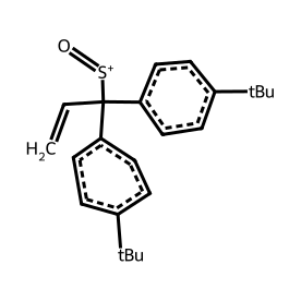 C=CC([S+]=O)(c1ccc(C(C)(C)C)cc1)c1ccc(C(C)(C)C)cc1